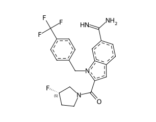 N=C(N)c1ccc2cc(C(=O)N3CC[C@H](F)C3)n(Cc3ccc(C(F)(F)F)cc3)c2c1